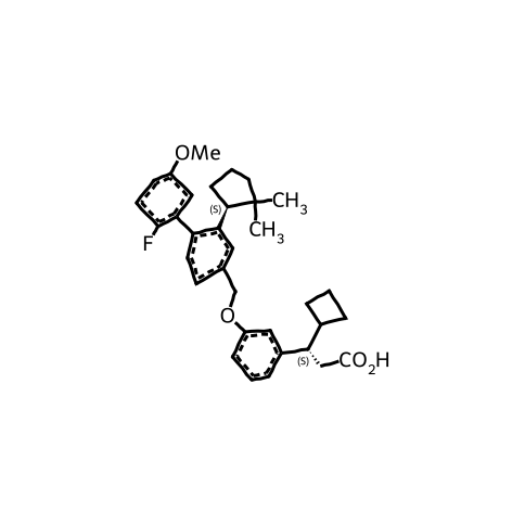 COc1ccc(F)c(-c2ccc(COc3cccc([C@@H](CC(=O)O)C4CCC4)c3)cc2[C@H]2CCCC2(C)C)c1